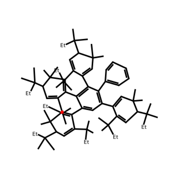 CCC(C)(C)C1=CC(C(C)(C)CC)C(C)(C)C=C1c1cc(C2=CC(C)(C)C(C(C)(C)CC)C=C2C(C)(C)CC)c(-c2ccccc2)c(C2=CC(C)(C)C(C(C)(C)CC)C=C2C(C)(C)CC)c1C1=CC(C)(C)C(C(C)(C)CC)C=C1C(C)(C)CC